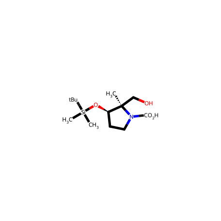 CC(C)(C)[Si](C)(C)O[C@@H]1CCN(C(=O)O)[C@]1(C)CO